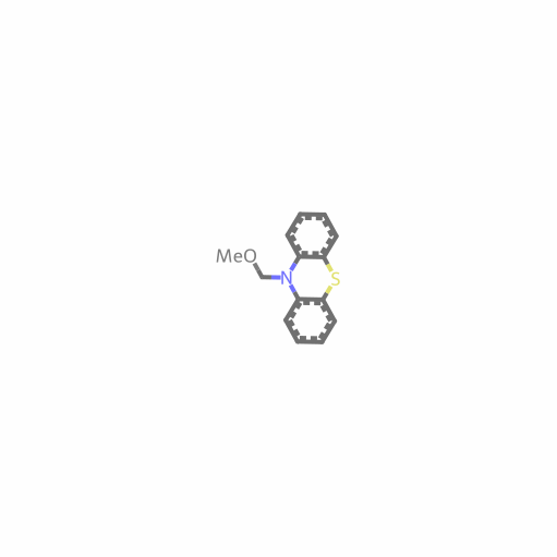 COCN1c2ccccc2Sc2ccccc21